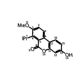 COc1ccc2c(c1C(C)C)c(=O)oc1cc(O)ccc12